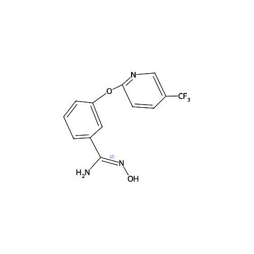 N/C(=N\O)c1cccc(Oc2ccc(C(F)(F)F)cn2)c1